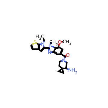 CCn1c(-c2nc3cc(C(=O)N4CCC5(CC5)C(N)C4)cc(OC)c3n2C)cc2ccsc21